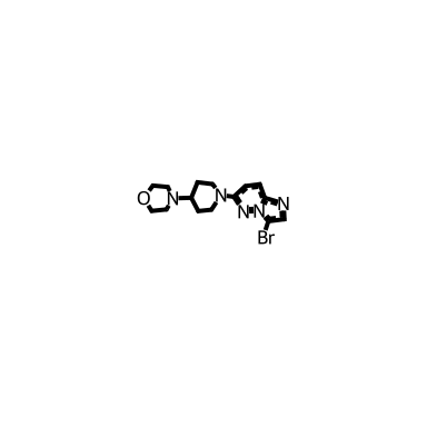 Brc1cnc2ccc(N3CCC(N4CCOCC4)CC3)nn12